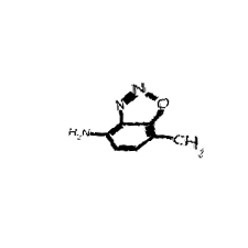 Cc1ccc(N)c2nnoc12